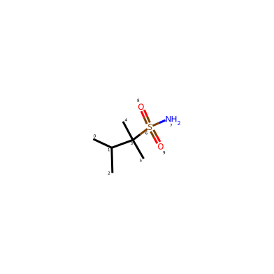 CC(C)C(C)(C)S(N)(=O)=O